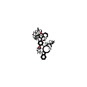 CC[C@]1(O)C[C@H]2C[N@](CCc3c([nH]c4ccccc34)[C@H](C(=O)OC)[C@H]2c2cc3c(cc2OC)N(C=O)[C@@H]2[C@]34CCN3CC=C[C@@](CC)(C(OC(C)=O)[C@]2(O)C(=O)OC)[C@H]34)C1